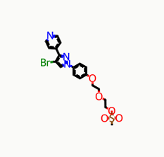 CS(=O)(=O)OCCOCCOc1ccc(-n2cc(Br)c(-c3ccncc3)n2)cc1